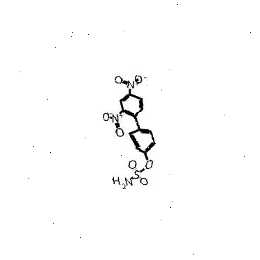 NS(=O)(=O)Oc1ccc(-c2ccc([N+](=O)[O-])cc2[N+](=O)[O-])cc1